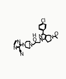 CC(=O)N1CCc2c(c(-c3ccc(Cl)cc3)nn2CC(O)CN2CCN(c3nccnc3C#N)CC2)C1